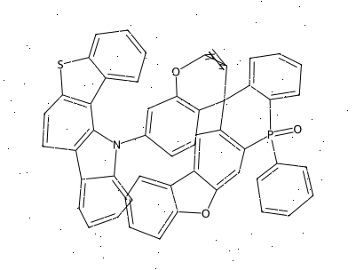 O=P1(c2ccccc2)c2ccccc2C2(c3ccccc3Oc3cc(-n4c5ccccc5c5ccc6sc7ccccc7c6c54)ccc32)c2cc3c(cc21)oc1ccccc13